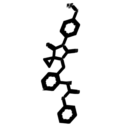 O=C(Nc1cnccc1CN1C(=O)N(c2ccc(SC(F)(F)F)cc2)C(=O)C12CC2)Oc1ccccc1